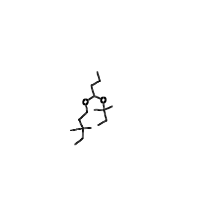 CCCC(OCCC(C)(C)CC)OC(C)(C)CC